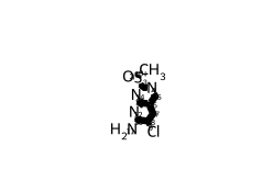 C[S+]([O-])c1ncc2cc(Cl)c(N)nc2n1